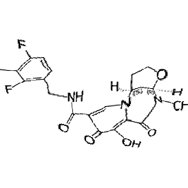 CN1C(=O)c2c(O)c(=O)c(C(=O)NCc3ccc(F)c(Cl)c3F)cn2[C@H]2CCO[C@H]21